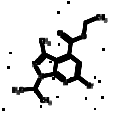 CCOC(=O)c1cc(Br)nc2c1c(C)nn2C(C)C